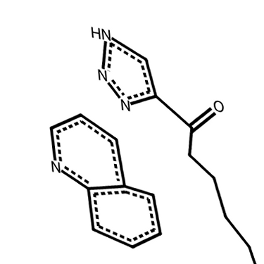 CCCCCC(=O)c1c[nH]nn1.c1ccc2ncccc2c1